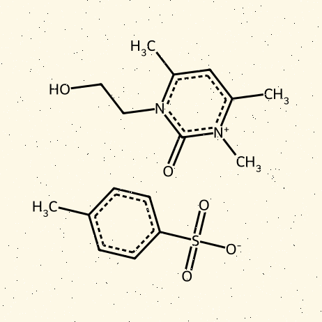 Cc1cc(C)[n+](C)c(=O)n1CCO.Cc1ccc(S(=O)(=O)[O-])cc1